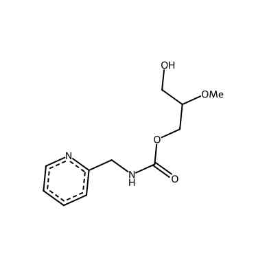 COC(CO)COC(=O)NCc1ccccn1